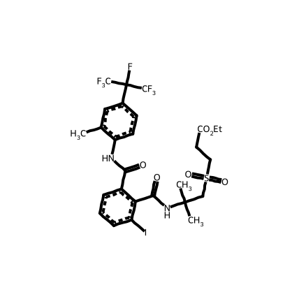 CCOC(=O)CCS(=O)(=O)CC(C)(C)NC(=O)c1c(I)cccc1C(=O)Nc1ccc(C(F)(C(F)(F)F)C(F)(F)F)cc1C